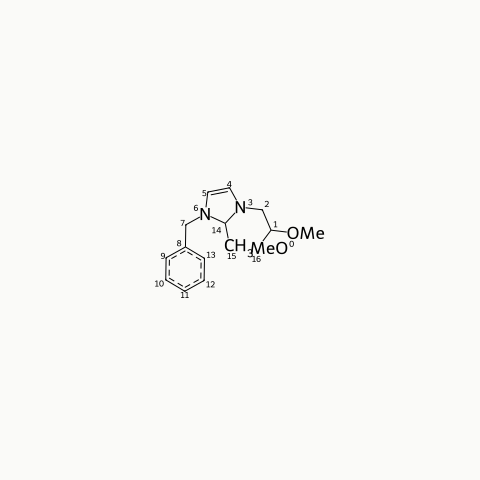 COC(CN1C=CN(Cc2ccccc2)C1C)OC